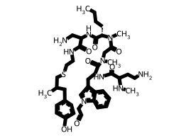 CCCC[C@@H](C(=O)NC(CN)C(=O)NCCSCC(C)Cc1ccc(O)cc1)N(C)C(=O)CN(C)C(=O)C(Cc1cn(CC=O)c2ccccc12)NC(=O)C(CCN)NC